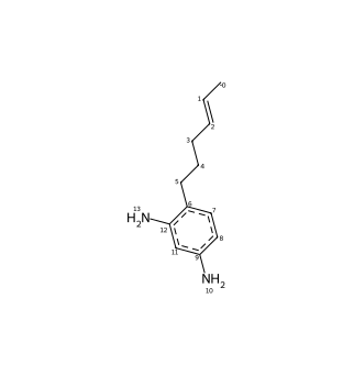 [CH2]/C=C/CCCc1ccc(N)cc1N